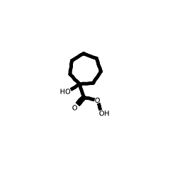 O=C(OO)C1(O)CCCCCC1